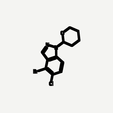 Clc1ccc2c(cnn2C2CCCCO2)c1Br